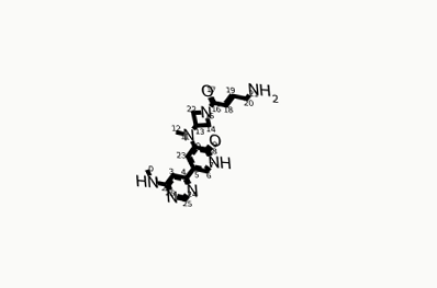 CNc1cc(-c2c[nH]c(=O)c(N(C)C3CN(C(=O)/C=C/CN)C3)c2)ncn1